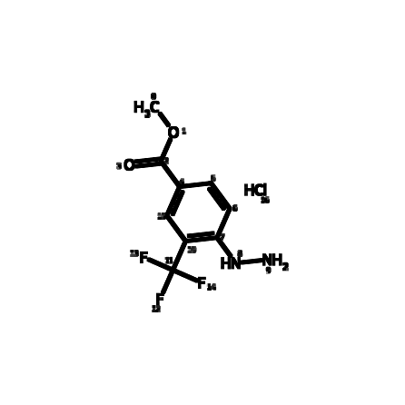 COC(=O)c1ccc(NN)c(C(F)(F)F)c1.Cl